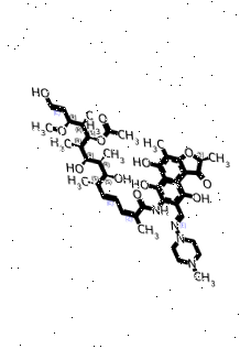 CO[C@@H](/C=C/O)[C@@H](C)[C@@H](OC(C)=O)[C@H](C)[C@H](O)[C@H](C)[C@@H](O)[C@@H](C)/C=C/C=C(/C)C(=O)Nc1c(/C=N/N2CCN(C)CC2)c(O)c2c3c(c(C)c(O)c2c1O)O[C@@H](C)C3=O